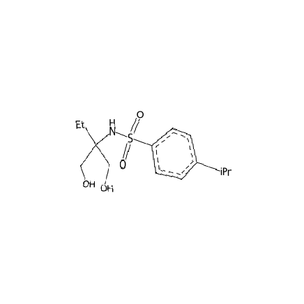 CCC(CO)(CO)NS(=O)(=O)c1ccc(C(C)C)cc1